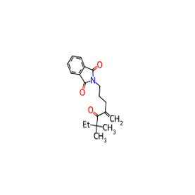 C=C(CCCN1C(=O)c2ccccc2C1=O)C(=O)C(C)(C)CC